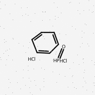 Cl.Cl.O=P.c1ccccc1